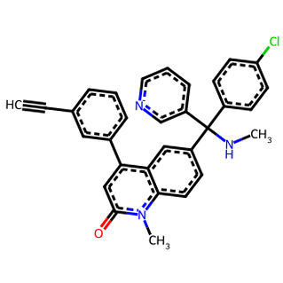 C#Cc1cccc(-c2cc(=O)n(C)c3ccc(C(NC)(c4ccc(Cl)cc4)c4cccnc4)cc23)c1